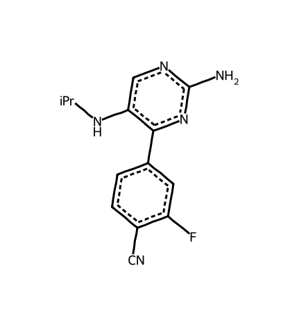 CC(C)Nc1cnc(N)nc1-c1ccc(C#N)c(F)c1